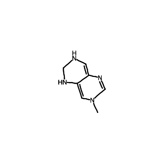 CN1C=NC2=CNCNC2=C1